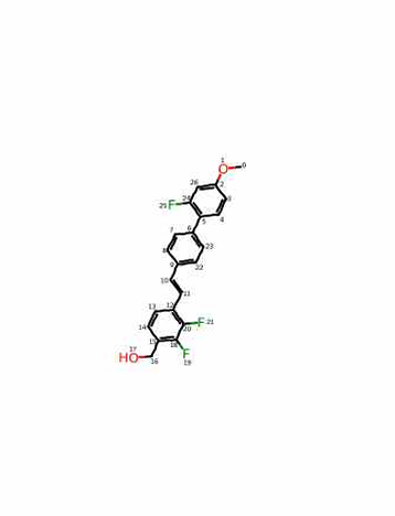 COc1ccc(-c2ccc(/C=C/c3ccc(CO)c(F)c3F)cc2)c(F)c1